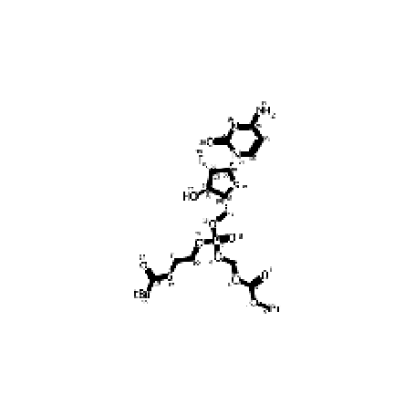 CC(C)OC(=O)OCOP(=O)(OCCSC(=O)C(C)(C)C)OC[C@H]1S[C@@H](n2ccc(N)nc2=O)[C@@H](F)[C@@H]1O